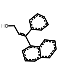 OCC=C(c1ccccc1)c1cccc2ccccc12